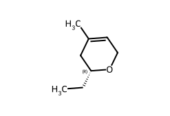 CC[C@@H]1CC(C)=CCO1